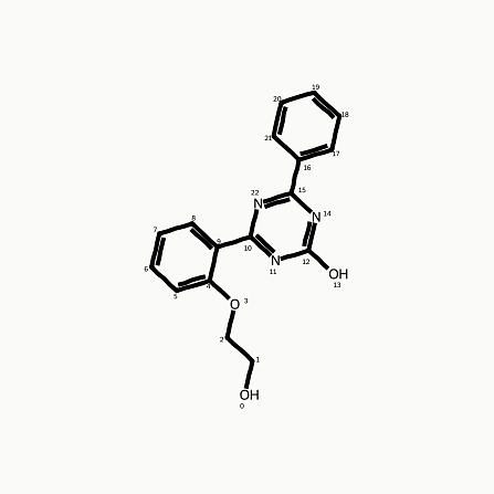 OCCOc1ccccc1-c1nc(O)nc(-c2ccccc2)n1